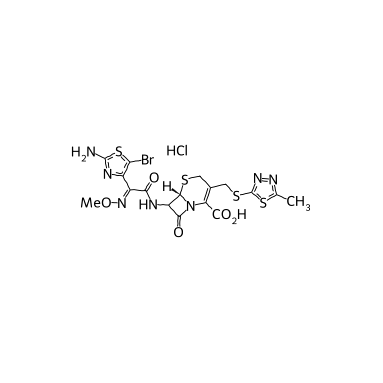 CON=C(C(=O)NC1C(=O)N2C(C(=O)O)=C(CSc3nnc(C)s3)CS[C@@H]12)c1nc(N)sc1Br.Cl